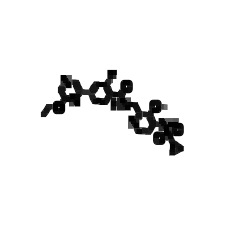 CCOc1cncc(-c2ccc(C(=O)NCc3nccc(NS(=O)(=O)C4CC4)c3OC)c(F)c2)n1